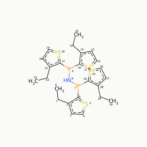 CCc1ccsc1P(NP(c1sccc1CC)c1sccc1CC)c1sccc1CC